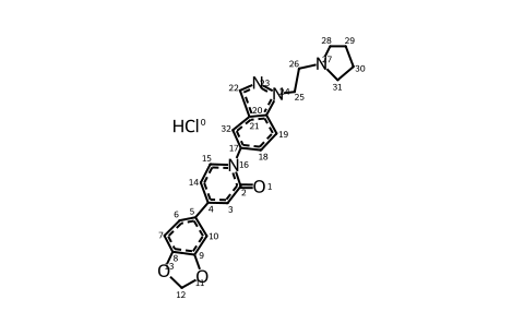 Cl.O=c1cc(-c2ccc3c(c2)OCO3)ccn1-c1ccc2c(cnn2CCN2CCCC2)c1